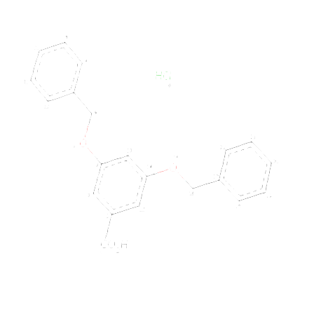 Cl.O=C(O)c1cc(OCc2ccccc2)cc(OCc2ccccc2)c1